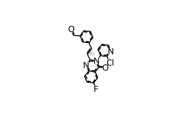 O=Cc1cccc(/C=C/c2nc3ccc(F)cc3c(=O)n2-c2cccnc2Cl)c1